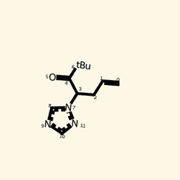 C=CCC(C(=O)C(C)(C)C)n1cncn1